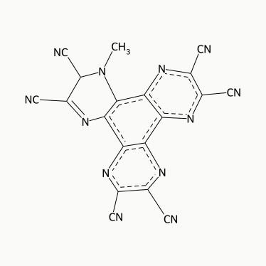 CN1c2c(c3nc(C#N)c(C#N)nc3c3nc(C#N)c(C#N)nc23)N=C(C#N)C1C#N